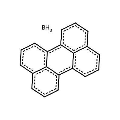 B.c1cc2cccc3c4cccc5cccc(c(c1)c23)c54